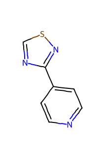 c1cc(-c2ncsn2)ccn1